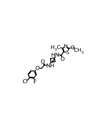 COc1nc(C)c(C(=O)NC23CC(NC(=O)COc4ccc(Cl)c(F)c4)(C2)C3)s1